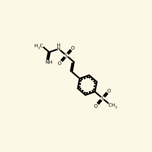 CC(=N)NS(=O)(=O)C=Cc1ccc(S(C)(=O)=O)cc1